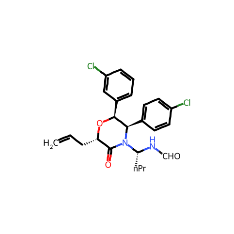 C=CC[C@@H]1O[C@@H](c2cccc(Cl)c2)[C@@H](c2ccc(Cl)cc2)N([C@@H](CCC)NC=O)C1=O